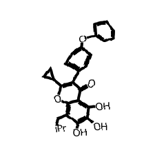 CC(C)Cc1c(O)c(O)c(O)c2c(=O)c(-c3ccc(Oc4ccccc4)cc3)c(C3CC3)oc12